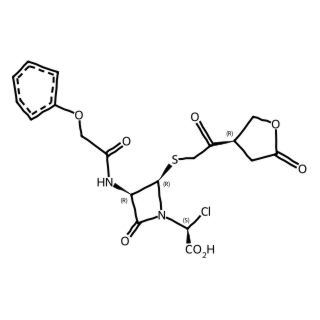 O=C(COc1ccccc1)N[C@@H]1C(=O)N([C@@H](Cl)C(=O)O)[C@@H]1SCC(=O)[C@H]1COC(=O)C1